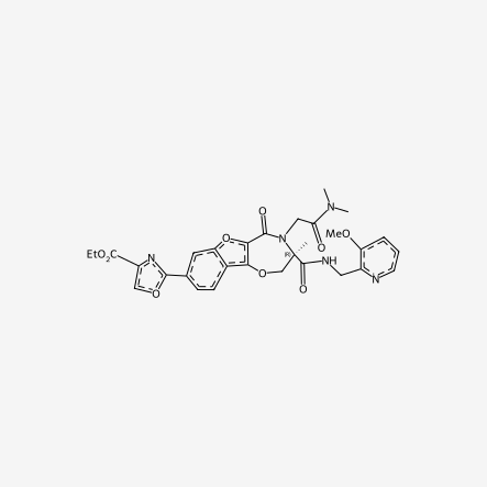 CCOC(=O)c1coc(-c2ccc3c4c(oc3c2)C(=O)N(CC(=O)N(C)C)[C@@](C)(C(=O)NCc2ncccc2OC)CO4)n1